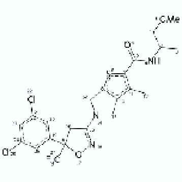 COCC(C)NC(=O)c1sc2c(c1C)CN(C1=NOC(c3cc(Cl)cc(Cl)c3)(C(F)(F)F)C1)C2